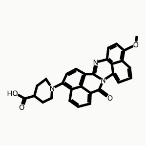 COc1ccc2nc3c4ccc(N5CCC(C(=O)O)CC5)c5cccc(c(=O)n3c3cccc1c23)c54